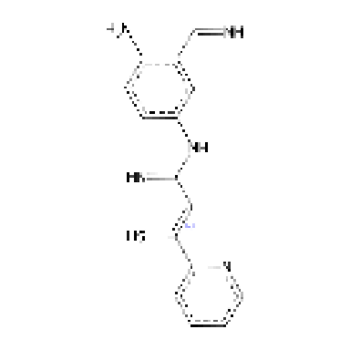 N=Cc1cc(NC(=N)/C=C(\S)c2ccccn2)ccc1N